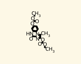 CCOC(=O)Oc1ccc2c(c1)[nH]c(=O)c1nc(OC(=O)OCC)c(C)n12